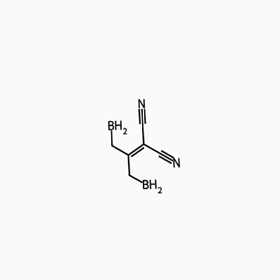 BCC(CB)=C(C#N)C#N